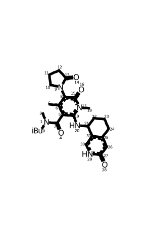 CCC(C)N(C)C(=O)c1c(C)c(N2CCCC2=O)c(=O)n(C)c1NC1CCCc2cc(=O)[nH]cc21